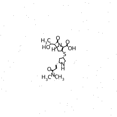 C[C@@H](O)[C@H]1C(=O)N2C(C(=O)O)=C(S[C@@H]3CN[C@H](/C=C/C(=O)N(C)C)C3)C[C@H]12